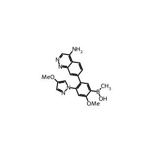 COc1cnn(-c2cc(OC)c(B(C)O)cc2-c2ccc3c(N)cnnc3c2)c1